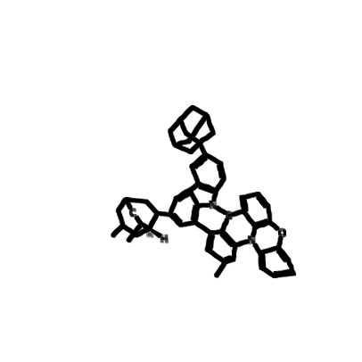 Cc1cc2c3c(c1)N1c4ccccc4Oc4cccc(c41)B3n1c3ccc(C45CC6CC(CC(C6)C4)C5)cc3c3cc(C4CC5CC(C)C[C@@H]4C(C)C5)cc-2c31